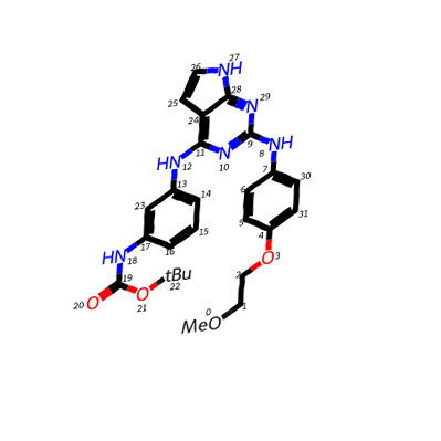 COCCOc1ccc(Nc2nc(Nc3cccc(NC(=O)OC(C)(C)C)c3)c3cc[nH]c3n2)cc1